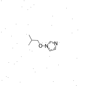 CC(C)COn1ccnc1